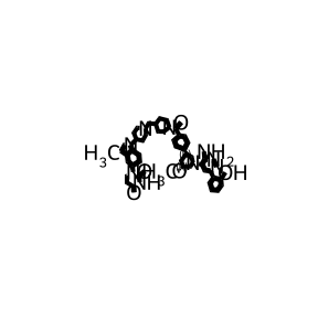 CO[C@@H]1C[C@H](c2ccc(C(=O)N3CCC(CN4CCC(n5cc(C)c6cc(N7CCC(=O)NC7=O)ccc65)CC4)CC3)cc2)CN(c2cc(-c3ccccc3O)nnc2N)C1